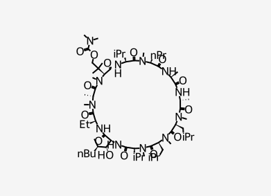 CCCC[C@@H](C)[C@@H](O)[C@@H]1NC(=O)[C@H](C(C)C)N(C)C(=O)[C@H](CC(C)C)N(C)C(=O)[C@H](CC(C)C)N(C)C(=O)[C@@H](C)NC(=O)[C@H](C)NC(=O)[C@H](CCC)N(C)C(=O)[C@H](C(C)C)NC(=O)[C@H](C(C)(C)COC(=O)N(C)C)N(C)C(=O)[C@@H](C)N(C)C(=O)[C@H](CC)NC1=O